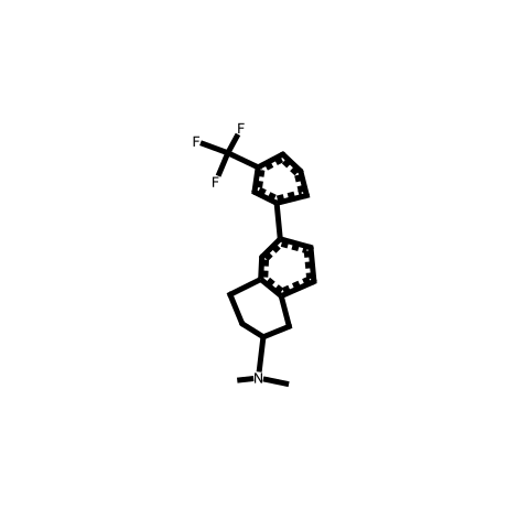 CN(C)C1CCc2cc(-c3cccc(C(F)(F)F)c3)ccc2C1